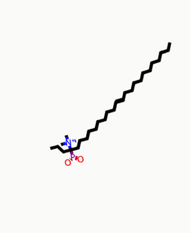 CCCCCCCCCCCC=CCCCCCCCCCC(CCC)(P(=O)=O)[N+](C)(C)C